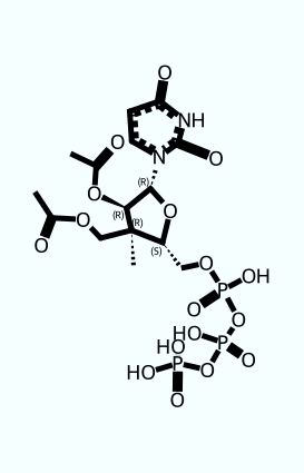 CC(=O)OC[C@]1(C)[C@@H](COP(=O)(O)OP(=O)(O)OP(=O)(O)O)O[C@@H](n2ccc(=O)[nH]c2=O)[C@@H]1OC(C)=O